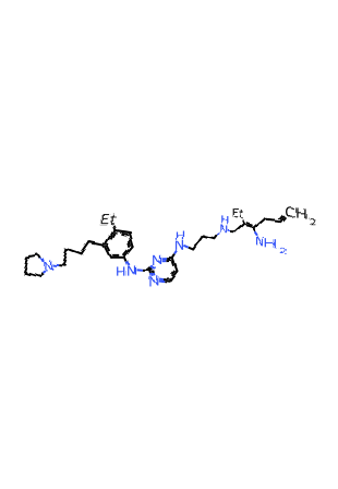 C=CC/C(N)=C(\CC)CNCCCNc1ccnc(Nc2ccc(CC)c(CCCCN3CCCC3)c2)n1